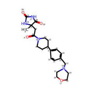 CC1(CC(=O)N2CCC(c3ccc(CN4CCOCC4)cc3)CC2)NC(=O)NC1=O